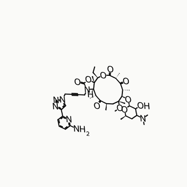 CC[C@H]1OC(=O)[C@H](C)C(=O)[C@H](C)[C@@H](O[C@@H]2O[C@H](C)CC(N(C)C)C2O)[C@](C)(OC)C[C@@H](C)C(=O)[C@H](C)[C@H]2N(CC#CCn3cc(-c4cccc(N)n4)nn3)C(=O)O[C@]12C